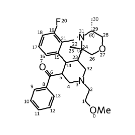 COCCN1CC(C(=O)c2ccccc2)C(c2cccc(F)c2C)C([C@@]2(C)COC[C@@H](C)[N]2)C1